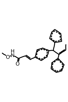 CC=C(c1ccccc1)C(c1ccccc1)c1ccc(C=CC(=O)NOC)cc1